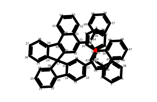 c1ccc(N(c2ccccc2)c2ccc3c(c2)C2(c4ccccc4-3)c3ccccc3-c3c2cc(N(c2ccccc2)c2cccc4ccccc24)c2ccccc32)cc1